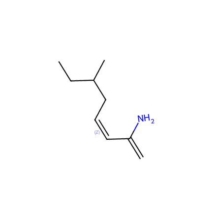 C=C(N)/C=C\CC(C)CC